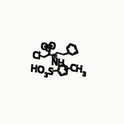 Cc1ccc(S(=O)(=O)O)cc1.N[C@@H](CCc1ccccc1)C(CCl)=S(=O)=O